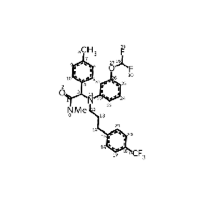 CNC(=O)C(c1ccc(C)cc1)N(CCCc1ccc(C(F)(F)F)cc1)c1cccc(OC(F)F)c1